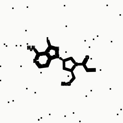 C=CC(=O)N1C[C@@H](n2nc(I)c3c(N)nccc32)C[C@@H]1COC